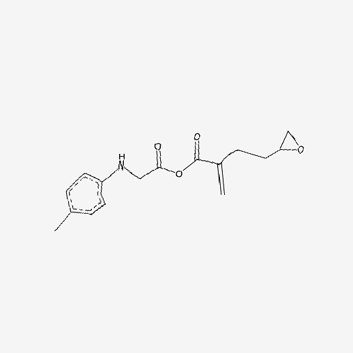 C=C(CCC1CO1)C(=O)OC(=O)CNc1ccc(C)cc1